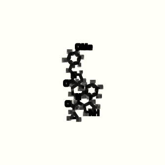 COc1ccc(CN2CCC3(CCN(C(C(=O)C4CC4)[C@@H]4CNC[C@@H]4c4ccccc4)CC3)C2=O)cc1